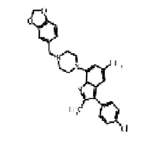 CC1=CC2=C(c3ccc(Cl)cc3)C(C)=NC2C(N2CCN(Cc3ccc4c(c3)OCO4)CC2)=C1